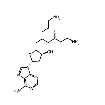 NCCC[C@H](CC(=S)CCN)C[C@H]1O[C@@H](n2cnc3c(N)ncnc32)C[C@@H]1O